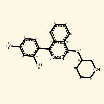 Cc1ccc(-c2nnc(OC3CCCNC3)c3ccccc23)c(O)c1